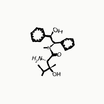 CC(C)[C@@](C)(O)[C@H](N)C(=O)N(C)[C@H](c1ccccc1)[C@H](O)c1ccccc1